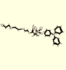 O=C(OCCOCCOCCCl)C(F)(F)S(=O)(=O)[O-].c1ccc([S+](c2ccccc2)c2ccccc2)cc1